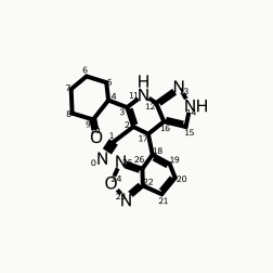 N#CC1=C(C2CCCCC2=O)Nc2n[nH]cc2C1c1cccc2nonc12